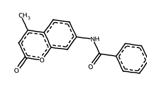 Cc1cc(=O)oc2cc(NC(=O)c3ccccc3)ccc12